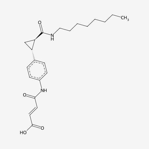 CCCCCCCCNC(=O)[C@@H]1C[C@H]1c1ccc(NC(=O)C=CC(=O)O)cc1